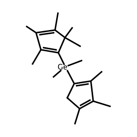 CC1=C(C)C(C)=[C]([Ge]([CH3])([CH3])[C]2=C(C)C(C)=C(C)C2(C)C)C1